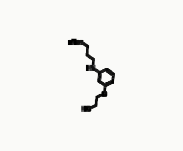 CCCCCCCCCCCCNc1cccc(OCCO)c1